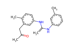 C=C(Nc1cccc(C)c1)Nc1ccc(C)c(CC(C)=O)c1